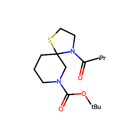 CC(C)C(=O)N1CCSC12CCCN(C(=O)OC(C)(C)C)C2